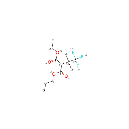 CCCOC(=O)C(C(=O)OCC)C(C)(C)C(F)(F)F